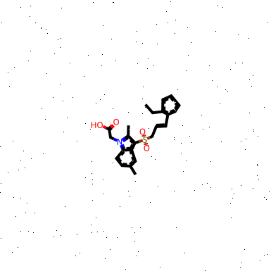 CCc1ccccc1C=CCS(=O)(=O)c1c(C)n(CC(=O)O)c2ccc(C)cc12